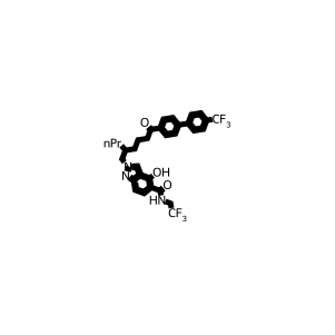 CCCC(CCCC(=O)c1ccc(-c2ccc(C(F)(F)F)cc2)cc1)Cn1cc2c(O)c(C(=O)NCC(F)(F)F)ccc2n1